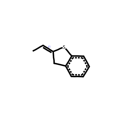 C/C=C1\Cc2ccccc2S1